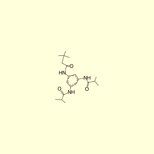 CC(C)C(=O)Nc1cc(NC(=O)CC(C)(C)C)cc(NC(=O)C(C)C)c1